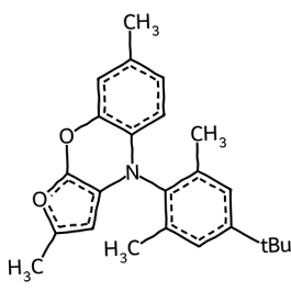 Cc1ccc2c(c1)Oc1oc(C)cc1N2c1c(C)cc(C(C)(C)C)cc1C